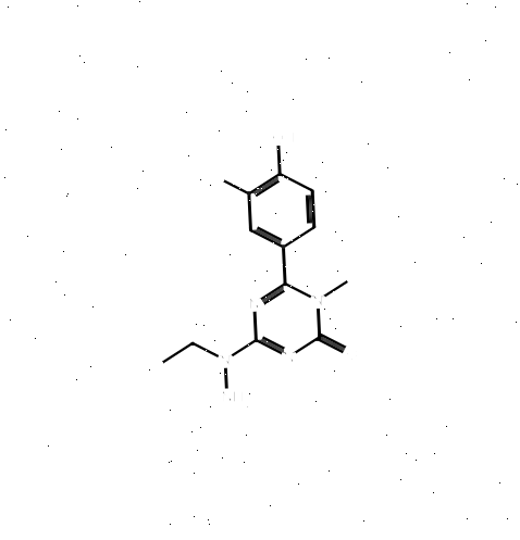 CCN(N)c1nc(-c2ccc(O)c(O)c2)n(C)c(=O)n1